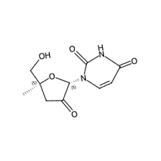 C[C@@]1(CO)CC(=O)[C@@H](n2ccc(=O)[nH]c2=O)O1